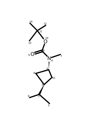 CC(C)[C@H]1C[C@H](N(C)C(=O)OC(C)(C)C)C1